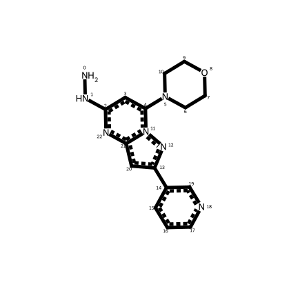 NNc1cc(N2CCOCC2)n2nc(-c3cccnc3)cc2n1